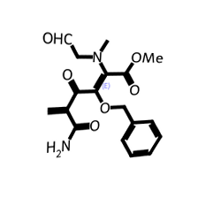 C=C(C(N)=O)C(=O)/C(OCc1ccccc1)=C(/C(=O)OC)N(C)CC=O